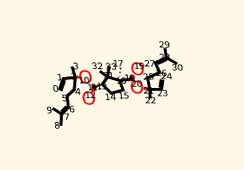 C=CC(C)(CCC=C(C)C)OC(=O)[C@@H]1CC[C@](C)(C(=O)OC(C)(C=C)CCC=C(C)C)C1(C)C